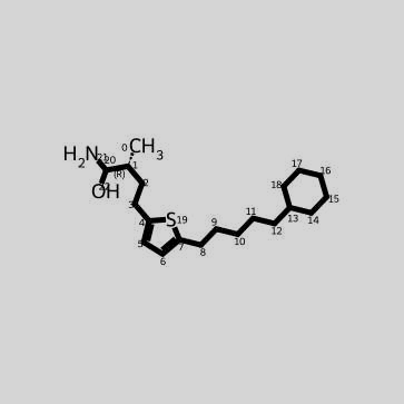 C[C@H](CCc1ccc(CCCCCC2CCCCC2)s1)C(N)O